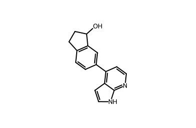 OC1CCc2ccc(-c3ccnc4[nH]ccc34)cc21